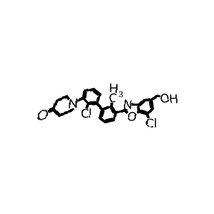 Cc1c(-c2nc3cc(CO)cc(Cl)c3o2)cccc1-c1cccc(N2CCC(=O)CC2)c1Cl